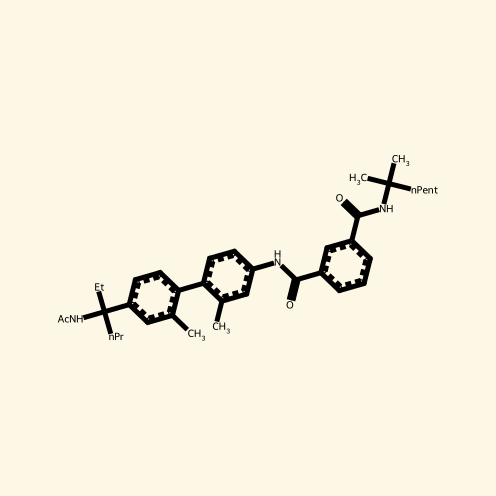 CCCCCC(C)(C)NC(=O)c1cccc(C(=O)Nc2ccc(-c3ccc(C(CC)(CCC)NC(C)=O)cc3C)c(C)c2)c1